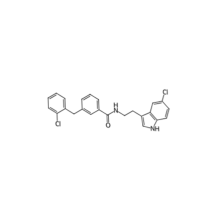 O=C(NCCc1c[nH]c2ccc(Cl)cc12)c1cccc(Cc2ccccc2Cl)c1